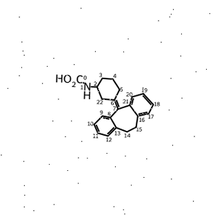 O=C(O)NC1CCCC(=C2c3ccccc3CCc3ccccc32)C1